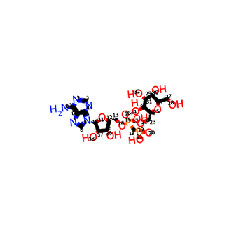 Nc1ncnc2c1ncn2[C@@H]1O[C@H](COP(=O)(O)CP(=O)(O)OC[C@@H]2OC(CO)[C@@H](O)C(O)C2O)C(O)C1O